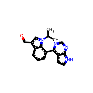 CC(C)n1cc(C=O)c2cccc(-c3ncnc4[nH]ccc34)c21